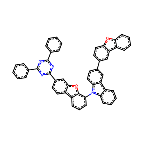 c1ccc(-c2nc(-c3ccccc3)nc(-c3ccc4c(c3)oc3c(-n5c6ccccc6c6cc(-c7ccc8oc9ccccc9c8c7)ccc65)cccc34)n2)cc1